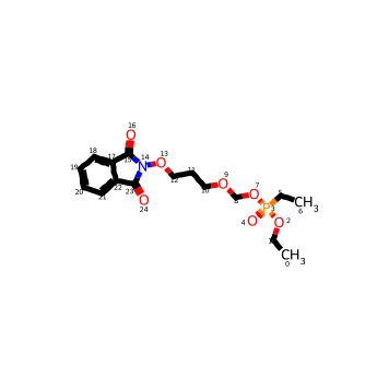 CCOP(=O)(CC)OCOCCCON1C(=O)c2ccccc2C1=O